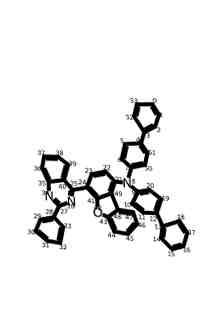 c1ccc(-c2ccc(N(c3ccc(-c4ccccc4)cc3)c3ccc(-c4nc(-c5ccccc5)nc5ccccc45)c4oc5ccccc5c34)cc2)cc1